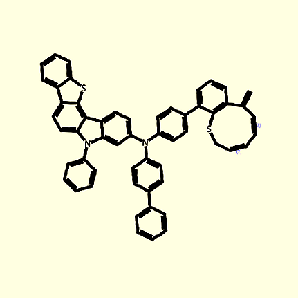 C=C1/C=C\C=C/CSc2c1cccc2-c1ccc(N(c2ccc(-c3ccccc3)cc2)c2ccc3c4c5sc6ccccc6c5ccc4n(-c4ccccc4)c3c2)cc1